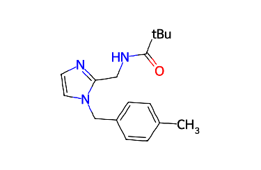 Cc1ccc(Cn2ccnc2CNC(=O)C(C)(C)C)cc1